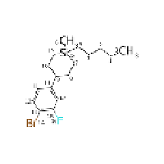 CCCCC[Si]1(C)CCC(c2ccc(Br)c(F)c2)CC1